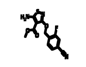 COC(=O)c1c(OCc2ccc(C#N)cc2F)nsc1N